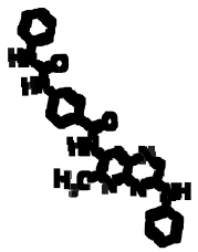 Cc1nc2nc(Nc3ccccc3)cnc2cc1NC(=O)c1ccc(NC(=O)Nc2ccccc2)cc1